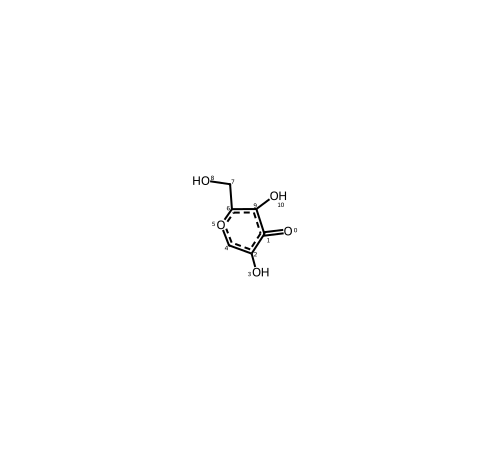 O=c1c(O)coc(CO)c1O